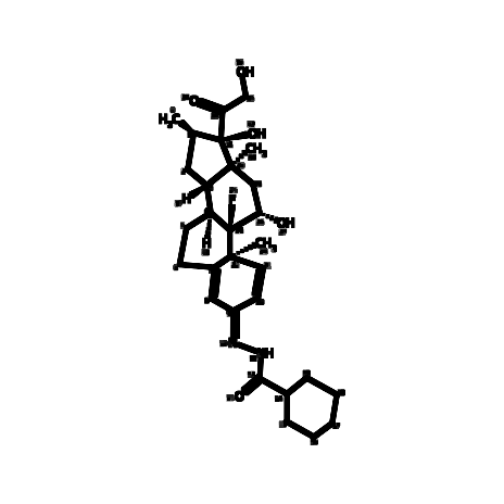 C[C@@H]1C[C@H]2[C@@H]3CCC4=C/C(=N/NC(=O)C5CCCCC5)C=C[C@]4(C)[C@@]3(F)[C@@H](O)C[C@]2(C)[C@@]1(O)C(=O)CO